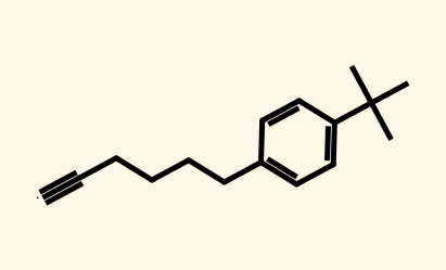 [C]#CCCCCc1ccc(C(C)(C)C)cc1